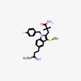 CC(=O)NC(=N)CCc1ccc2c(c1)c(SC(C)(C)C)c(CC(C)(C)C(N)=O)n2Cc1ccc(F)cc1